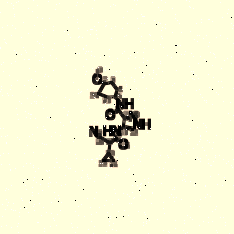 COC1CCC(NC(=O)c2n[nH]cc2NC(=O)C(C#N)C2CC2)CC1